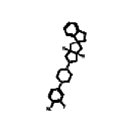 N#Cc1ccc(N2CCN([C@H]3C[C@@H]4C[C@@]5(C[C@@H]4C3)OCc3ccccc35)CC2)cc1F